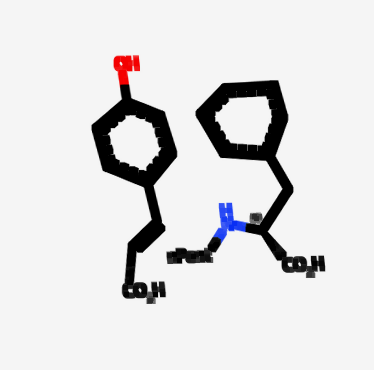 CCCCCN[C@@H](Cc1ccccc1)C(=O)O.O=C(O)C=Cc1ccc(O)cc1